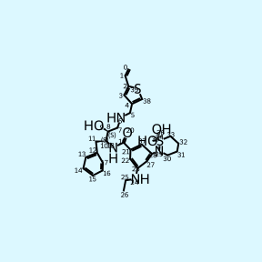 C=Cc1cc(CNC[C@H](O)[C@H](Cc2ccccc2)NC(=O)c2cc(NCC)cc(N3CCCCS3(O)O)c2)cs1